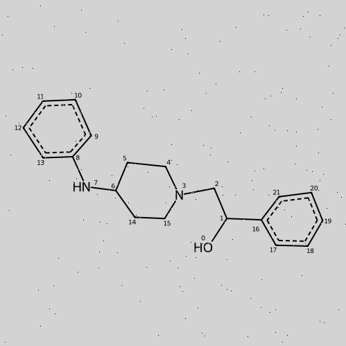 OC(CN1CCC(Nc2ccccc2)CC1)c1ccccc1